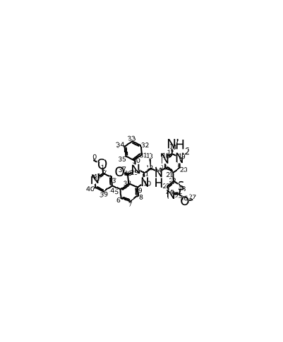 COc1cc(-c2cccc3nc([C@@H](C)Nc4nc(N)ncc4-c4cnc(OC)s4)n(-c4ccccc4)c(=O)c23)ccn1